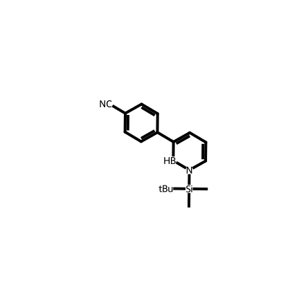 CC(C)(C)[Si](C)(C)N1BC(c2ccc(C#N)cc2)=CC=C1